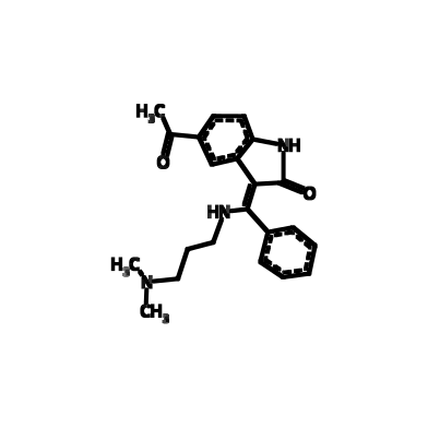 CC(=O)c1ccc2c(c1)C(=C(NCCCN(C)C)c1ccccc1)C(=O)N2